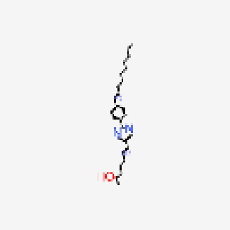 CCCCCCCC/C=C/c1ccc(-c2ncc(/C=C/CCCC(C)O)cn2)cc1